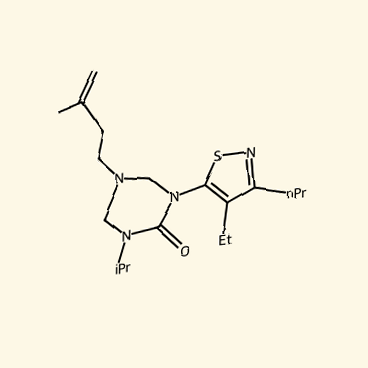 C=C(C)CCN1CN(c2snc(CCC)c2CC)C(=O)N(C(C)C)C1